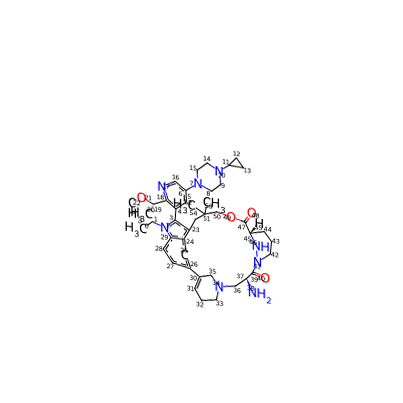 CCn1c(-c2cc(N3CCN(C4CC4)CC3)cnc2[C@H](C)OC)c2c3cc(ccc31)C1=CCCN(C1)C[C@H](N)C(=O)N1CCC[C@H](N1)C(=O)OCC(C)(C)C2